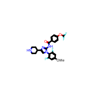 COc1cc(F)c(-n2cc(C3CCNCC3)nc2NC(=O)c2ccc(OC(F)F)cc2)c(F)c1